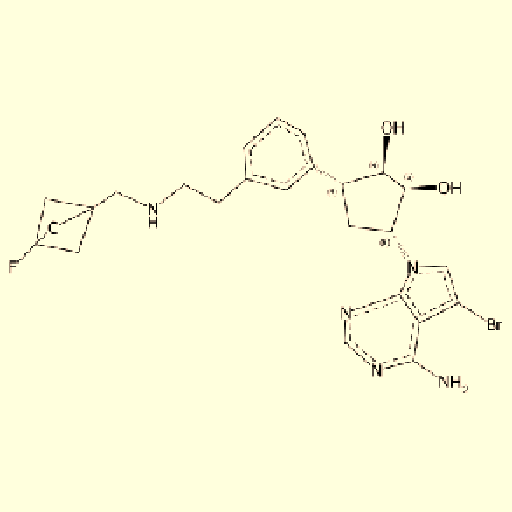 Nc1ncnc2c1c(Br)cn2[C@@H]1C[C@H](c2cccc(CCNCC34CC(F)(C3)C4)c2)[C@@H](O)[C@H]1O